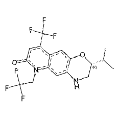 CC(C)[C@@H]1CNc2cc3c(cc2O1)c(C(F)(F)F)cc(=O)n3CC(F)(F)F